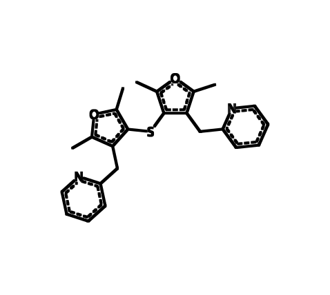 Cc1oc(C)c(Sc2c(C)oc(C)c2Cc2ccccn2)c1Cc1ccccn1